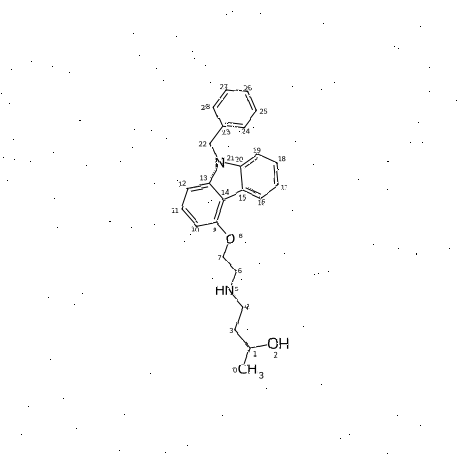 CC(O)CCNCCOc1cccc2c1c1ccccc1n2Cc1ccccc1